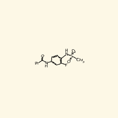 CC(C)C(=O)Nc1ccc(NS(C)(=O)=O)c(F)c1